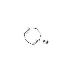 C1=C\CC/C=C\CC/1.[Ag]